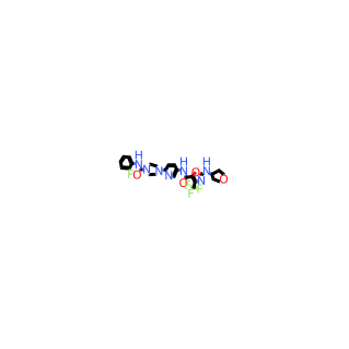 O=C(Nc1ccc(N2CCN(C(=O)Nc3ccccc3F)CC2)nc1)c1oc(NC2CCOCC2)nc1C(F)(F)F